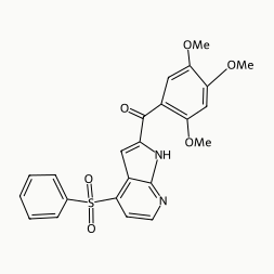 COc1cc(OC)c(C(=O)c2cc3c(S(=O)(=O)c4ccccc4)ccnc3[nH]2)cc1OC